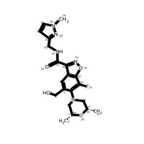 C[C@@H]1CN(c2c(CO)cc3c(C(=O)NCc4ccn(C)n4)noc3c2F)C[C@H](C)O1